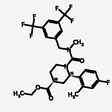 CCOC(=O)[C@@H]1CCN(C(=O)N(C)Cc2cc(C(F)(F)F)cc(C(F)(F)F)c2)[C@H](c2ccc(F)cc2C)C1